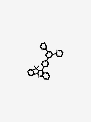 CC1(C)c2ccccc2-c2nc3ccccc3c(-c3ccc(-c4cc(-c5ccccn5)cc(-c5ccccn5)c4)cc3)c21